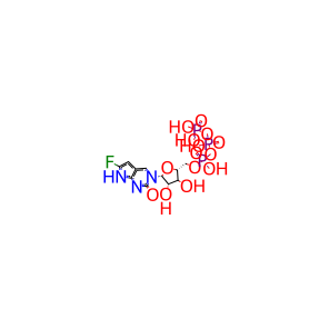 O=c1nc2[nH]c(F)cc2cn1[C@@H]1O[C@H](COP(=O)(O)OP(=O)(O)OP(=O)(O)O)C(O)[C@@H]1O